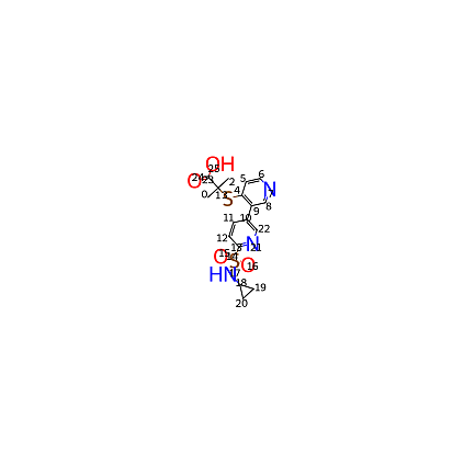 CC(C)(Sc1ccncc1-c1ccc(S(=O)(=O)NC2CC2)nc1)C(=O)O